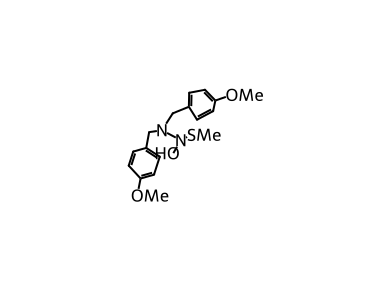 COc1ccc(CN(Cc2ccc(OC)cc2)N(O)SC)cc1